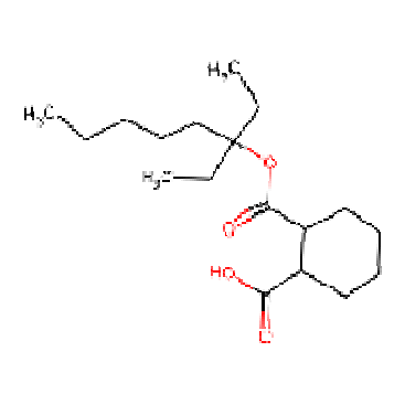 CCCCCC(CC)(CC)OC(=O)C1CCCCC1C(=O)O